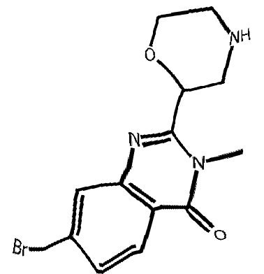 Cn1c(C2CNCCO2)nc2cc(Br)ccc2c1=O